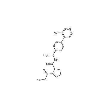 CC(NC(=O)C1CCCN1C(=O)CC(C)(C)C)c1ccc(-c2ccncc2C#N)cc1